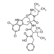 CC[C@H](C)CN(C(N)=O)C(=O)[C@@]1(NC(=O)C(N(Cc2ccccc2)C(=O)O)[C@@](C)(Cl)CC)CCc2[nH]c3c(Cl)cc(Cl)cc3c2C1